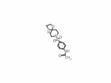 CC(=O)Nc1ccc(S(=O)(=O)N2CCC3(CC2)NCCO3)cc1